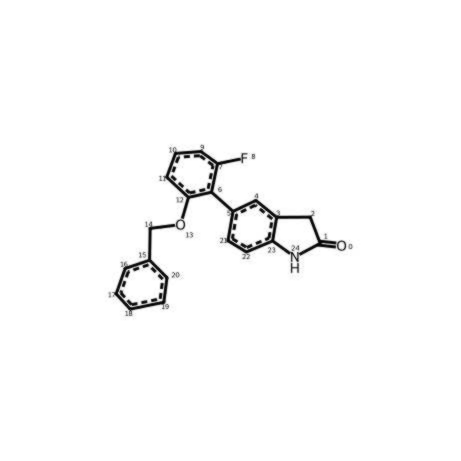 O=C1Cc2cc(-c3c(F)cccc3OCc3ccccc3)ccc2N1